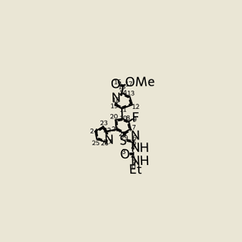 CCNC(=O)Nc1nc2c(F)c(-c3ccc(C(=O)OC)nc3)cc(-c3ccccn3)c2s1